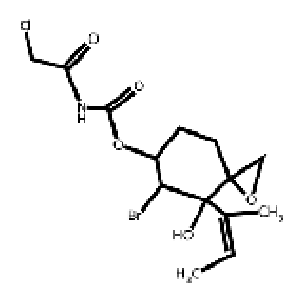 C/C=C(/C)C1(O)C(Br)C(OC(=O)NC(=O)CCl)CCC12CO2